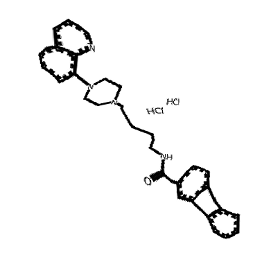 Cl.Cl.O=C(NCCCCN1CCN(c2cccc3cccnc23)CC1)c1ccc2c(c1)-c1ccccc1-2